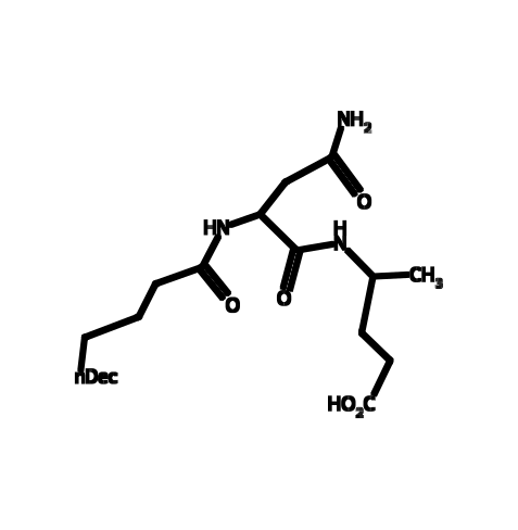 CCCCCCCCCCCCCC(=O)NC(CC(N)=O)C(=O)NC(C)CCC(=O)O